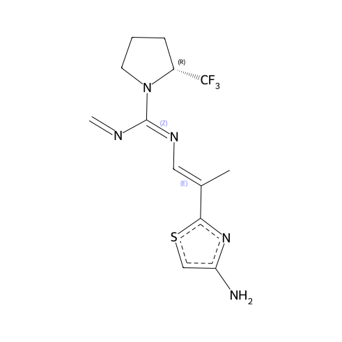 C=N/C(=N\C=C(/C)c1nc(N)cs1)N1CCC[C@@H]1C(F)(F)F